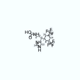 O=C(O)NCCC(c1cc(C(F)(F)F)cc(C(F)(F)F)c1)c1c[nH]cn1